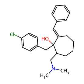 CN(C)CC1CCCCC(=Cc2ccccc2)C1(O)Cc1ccc(Cl)cc1